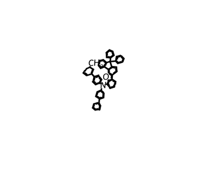 CC1C=C(c2ccc(N(c3ccc(-c4ccccc4)cc3)c3cccc4c3oc3c5c(ccc34)C(c3ccccc3)(c3ccccc3)c3ccccc3-5)cc2)C=CC1